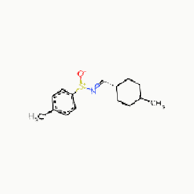 Cc1ccc([S+]([O-])N=C[C@H]2CC[C@H](C)CC2)cc1